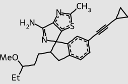 CCC(CCC1Cc2ccc(C#CC3CC3)cc2C12N=C(N)c1nc(C)sc12)OC